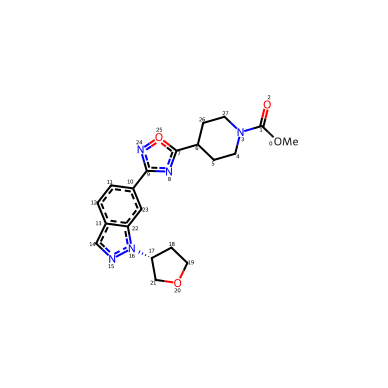 COC(=O)N1CCC(c2nc(-c3ccc4cnn([C@@H]5CCOC5)c4c3)no2)CC1